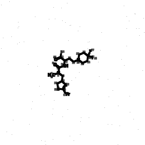 CC(C)C1=NC(CN(C)C(=O)NC(CCN2CCC(F)(F)CC2)C(=O)I)CS1